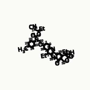 CCc1c2c(nc3ccc(OCN(C(=O)OC(CC)CC#N)c4ccc(C)cc4)cc13)-c1cc3c(c(=O)n1C2)COC(=O)C3(O)CC